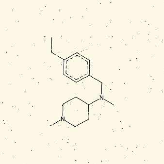 CCc1ccc(CN(C)C2CCN(C)CC2)cc1